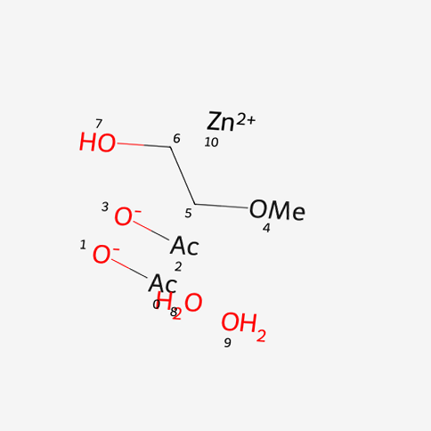 CC(=O)[O-].CC(=O)[O-].COCCO.O.O.[Zn+2]